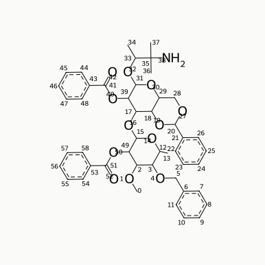 COC1C(OCc2ccccc2)C(C)OC(OC2C3OC(c4ccccc4)OCC3OC(OC(C)C(C)(C)N)C2OC(=O)c2ccccc2)C1OC(=O)c1ccccc1